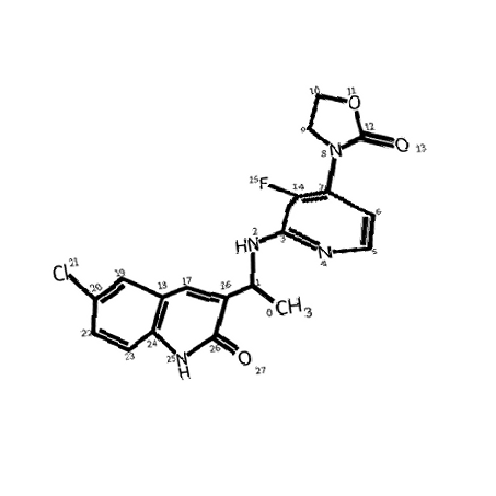 CC(Nc1nccc(N2CCOC2=O)c1F)c1cc2cc(Cl)ccc2[nH]c1=O